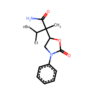 CCCCC(CC)C(C)(C(N)=O)C1CN(c2ccccc2)C(=O)O1